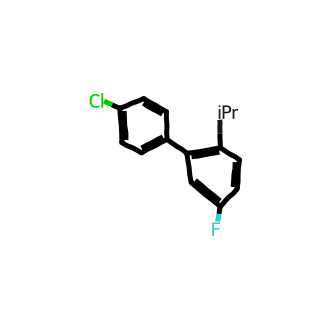 CC(C)c1ccc(F)cc1-c1ccc(Cl)cc1